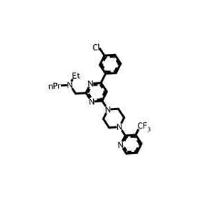 CCCN(CC)Cc1nc(-c2cccc(Cl)c2)cc(N2CCN(c3ncccc3C(F)(F)F)CC2)n1